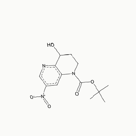 CC(C)(C)OC(=O)N1CCC(O)c2ncc([N+](=O)[O-])cc21